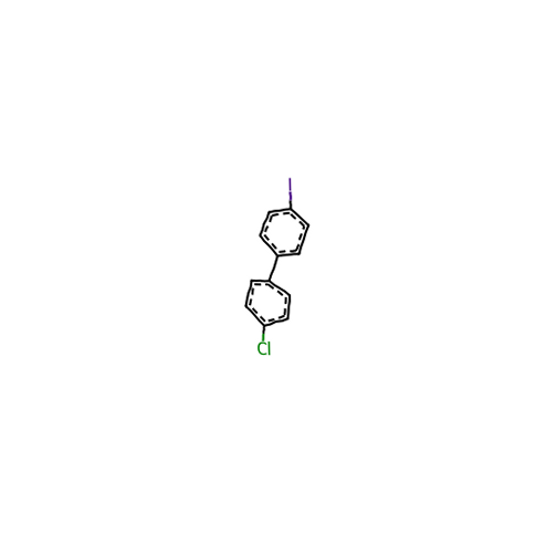 Clc1ccc(-c2ccc(I)cc2)cc1